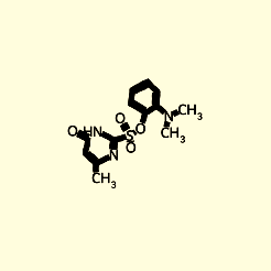 Cc1cc(=O)[nH]c(S(=O)(=O)Oc2ccccc2N(C)C)n1